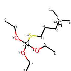 CCO[Si](OCC)(OCC)SCCC[SiH](C)C